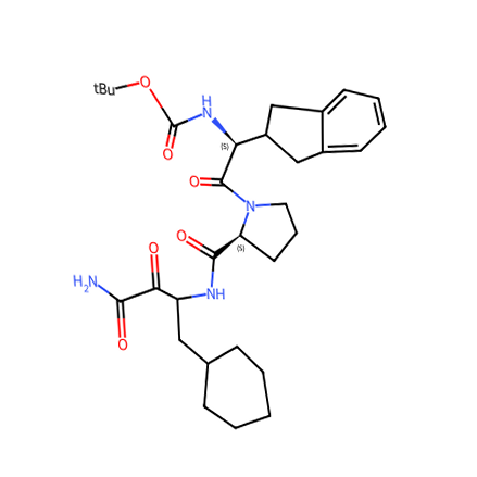 CC(C)(C)OC(=O)N[C@H](C(=O)N1CCC[C@H]1C(=O)NC(CC1CCCCC1)C(=O)C(N)=O)C1Cc2ccccc2C1